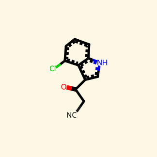 N#CCC(=O)c1c[nH]c2cccc(Cl)c12